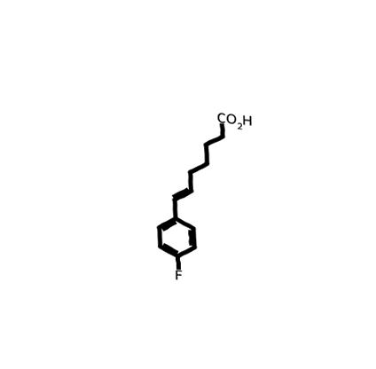 O=C(O)CCCCC=Cc1ccc(F)cc1